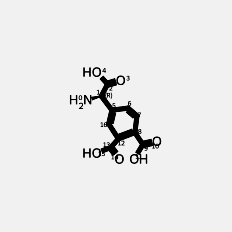 N[C@@H](C(=O)O)c1ccc(C(=O)O)c(C(=O)O)c1